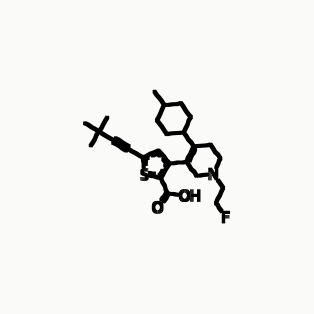 CC1CCC(C2=C(c3cc(C#CC(C)(C)C)sc3C(=O)O)CN(CCF)CC2)CC1